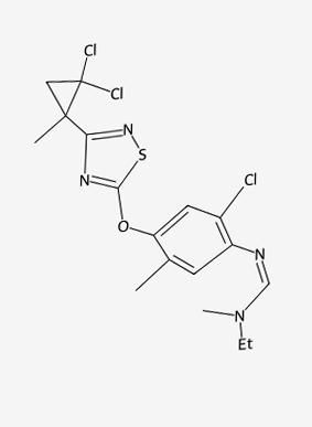 CCN(C)/C=N\c1cc(C)c(Oc2nc(C3(C)CC3(Cl)Cl)ns2)cc1Cl